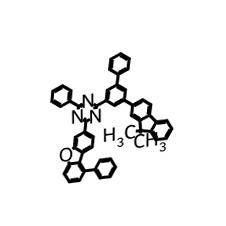 CC1(C)c2ccccc2-c2ccc(-c3cc(-c4ccccc4)cc(-c4nc(-c5ccccc5)nc(-c5ccc6c(c5)oc5cccc(-c7ccccc7)c56)n4)c3)cc21